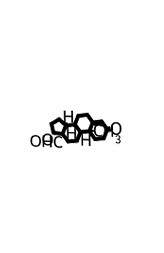 C[C@]12CCC(=O)C=C1CC[C@@H]1[C@@H]2CC[C@]2(C=O)C(=O)CC[C@@H]12